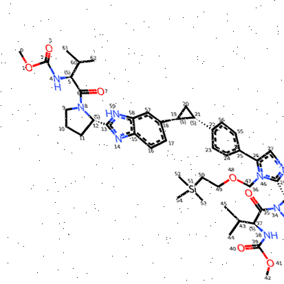 COC(=O)N[C@H](C(=O)N1CCC[C@H]1c1nc2ccc([C@H]3C[C@@H]3c3ccc(-c4cnc([C@@H]5CCCN5C(=O)[C@@H](NC(=O)OC)C(C)C)n4COCC[Si](C)(C)C)cc3)cc2[nH]1)C(C)C